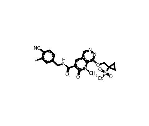 CCS(=O)(=O)C1(COc2nncc3cc(C(=O)NCc4ccc(C#N)c(F)c4)c(=O)n(C)c23)CC1